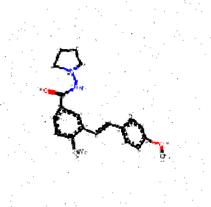 COc1ccc(C(=O)NN2CCCC2)cc1C=Cc1ccc(OC(F)(F)F)cc1